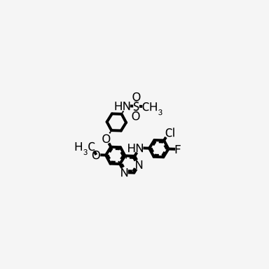 COc1cc2ncnc(Nc3ccc(F)c(Cl)c3)c2cc1O[C@H]1CC[C@@H](NS(C)(=O)=O)CC1